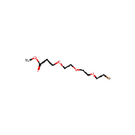 CC(C)(C)OC(=O)CCOCCOCCOCCBr